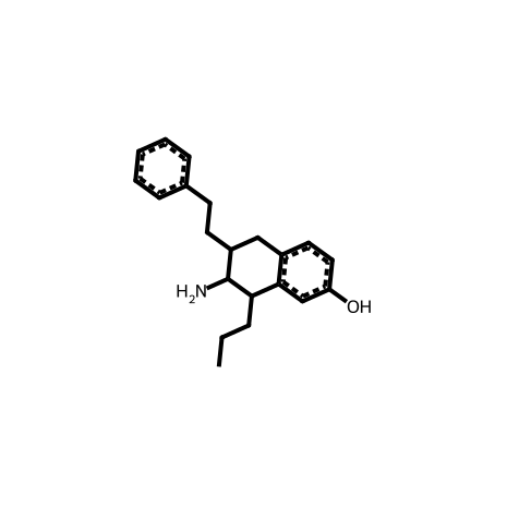 CCCC1c2cc(O)ccc2CC(CCc2ccccc2)C1N